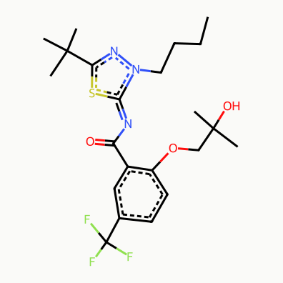 CCCCn1nc(C(C)(C)C)sc1=NC(=O)c1cc(C(F)(F)F)ccc1OCC(C)(C)O